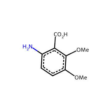 COc1ccc(N)c(C(=O)O)c1OC